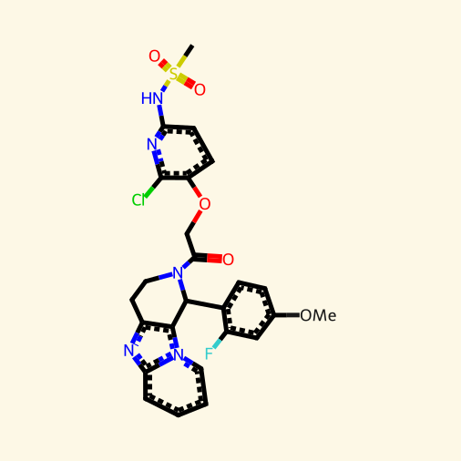 COc1ccc(C2c3c(nc4ccccn34)CCN2C(=O)COc2ccc(NS(C)(=O)=O)nc2Cl)c(F)c1